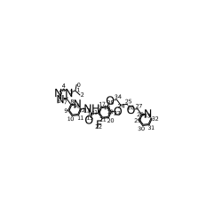 CC(C)n1cnnc1-c1cccc(NC(=O)c2cc3c(cc2F)OC(COCc2ccccn2)CO3)n1